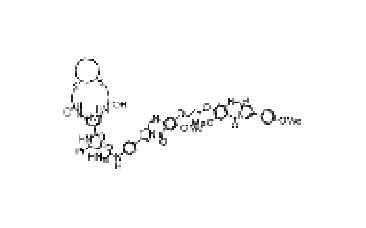 COc1ccc(C2=CN3C(=O)c4cc(OC)c(OCCCOc5cc6c(cc5OC)C(=O)N5C=C(c7ccc(NC(=O)[C@H](C)NC(=O)C(NC(=O)c8cc9nc(c8)NC(O)CCSC8CCCCCCCC(C8)SCCC(=O)N9)C(C)C)cc7)CC5C=N6)cc4N=C[C@@H]3C2)cc1